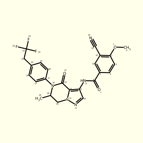 COc1ccc(C(=O)Nc2cnn3c2C(=O)N(c2ccc(CC(F)(F)F)cc2)C(C)C3)cc1C#N